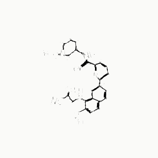 C=C(C#N)CNc1c(OC(C)C)ccc2ccc(-c3cccc(C(=O)NC4CCCN(C)C4)n3)cc12